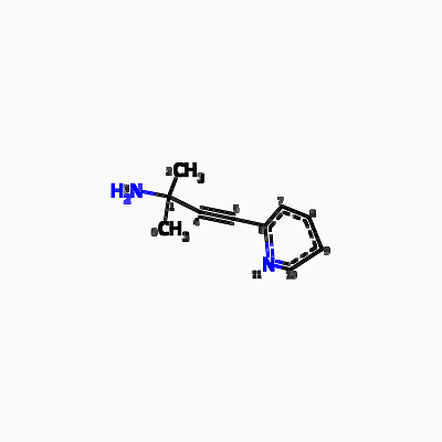 CC(C)(N)C#Cc1ccccn1